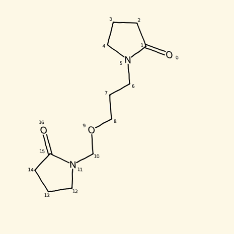 O=C1CCCN1CCCOCN1CCCC1=O